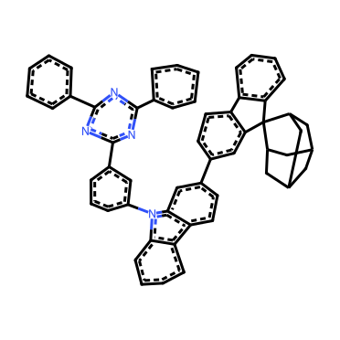 c1ccc(-c2nc(-c3ccccc3)nc(-c3cccc(-n4c5ccccc5c5ccc(-c6ccc7c(c6)C6(c8ccccc8-7)C7CC8CC(C7)CC6C8)cc54)c3)n2)cc1